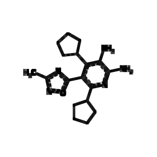 Cc1noc(-c2c(C3CCCC3)nc(N)c(N)c2C2CCCC2)n1